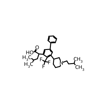 CC(C)CCN1CCCC(c2cc(-c3ccccc3)cc(C(CC(C)C)C(=O)O)c2C(F)(F)F)C1